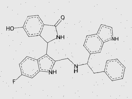 O=C1NC(c2c(CNC(Cc3ccccc3)c3ccc4cc[nH]c4c3)[nH]c3cc(F)ccc23)c2cc(O)ccc21